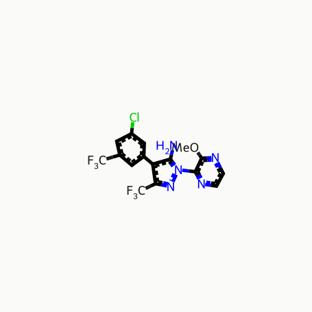 COc1nccnc1-n1nc(C(F)(F)F)c(-c2cc(Cl)cc(C(F)(F)F)c2)c1N